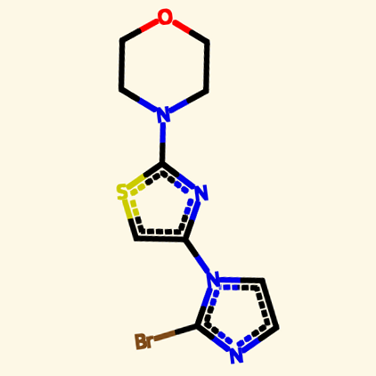 Brc1nccn1-c1csc(N2CCOCC2)n1